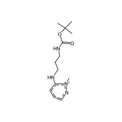 C[n+]1ncccc1NCCCNC(=O)OC(C)(C)C